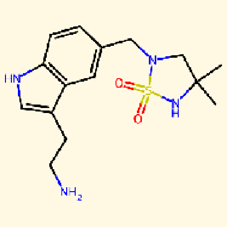 CC1(C)CN(Cc2ccc3[nH]cc(CCN)c3c2)S(=O)(=O)N1